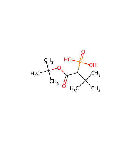 CC(C)(C)OC(=O)C(C(C)(C)C)P(=O)(O)O